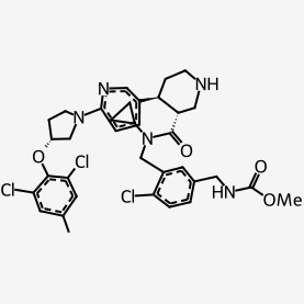 COC(=O)NCc1ccc(Cl)c(CN(C(=O)[C@H]2CNCC[C@@H]2c2ccc(N3CC[C@@H](Oc4c(Cl)cc(C)cc4Cl)C3)nc2)C2CC2)c1